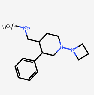 O=C(O)NCC1CCN(N2CCC2)CC1c1ccccc1